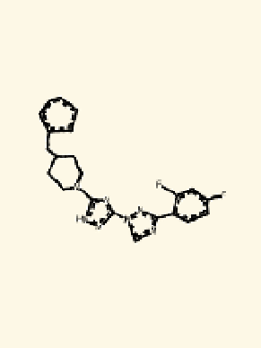 Fc1ccc(-c2ncn(-c3n[nH]c(N4CCC(Cc5ccccc5)CC4)n3)n2)c(F)c1